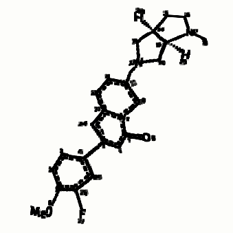 COc1ccc(-c2cc(=O)n3cc(N4C[C@H]5CCN(C)[C@H]5C4)ccc3c2)cc1F